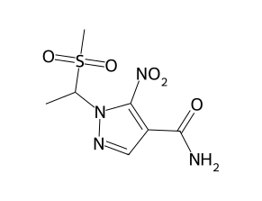 CC(n1ncc(C(N)=O)c1[N+](=O)[O-])S(C)(=O)=O